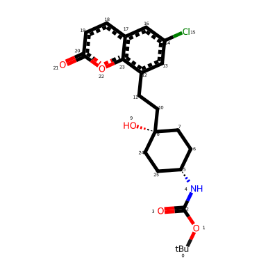 CC(C)(C)OC(=O)N[C@H]1CC[C@](O)(CCc2cc(Cl)cc3ccc(=O)oc23)CC1